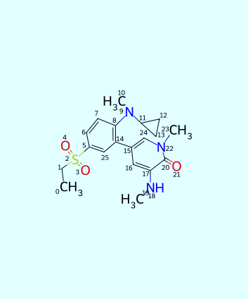 CCS(=O)(=O)c1ccc(N(C)C2CC2)c(-c2cc(NC)c(=O)n(C)c2)c1